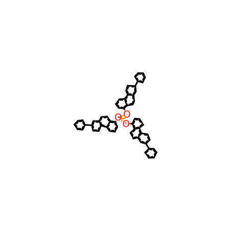 c1ccc(-c2ccc3c(ccc4c(OP(Oc5cccc6c5ccc5cc(-c7ccccc7)ccc56)Oc5cccc6c5ccc5cc(-c7ccccc7)ccc56)cccc43)c2)cc1